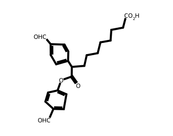 O=Cc1ccc(OC(=O)C(CCCCCCCC(=O)O)c2ccc(C=O)cc2)cc1